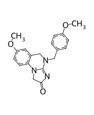 COc1ccc(CN2Cc3cc(OC)ccc3N3CC(=O)N=C23)cc1